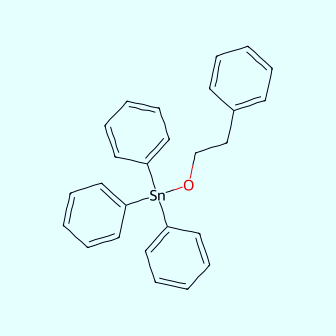 c1ccc(CC[O][Sn]([c]2ccccc2)([c]2ccccc2)[c]2ccccc2)cc1